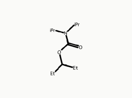 CCC(CC)OC(=O)N(C(C)C)C(C)C